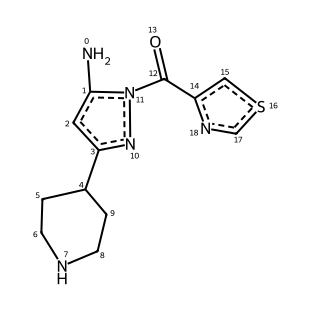 Nc1cc(C2CCNCC2)nn1C(=O)c1cscn1